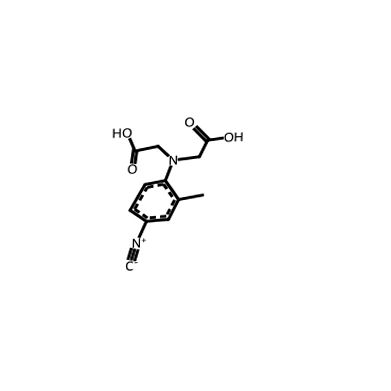 [C-]#[N+]c1ccc(N(CC(=O)O)CC(=O)O)c(C)c1